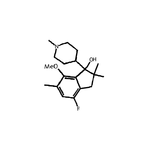 COc1c(C)cc(F)c2c1C(O)(C1CCN(C)CC1)C(C)(C)C2